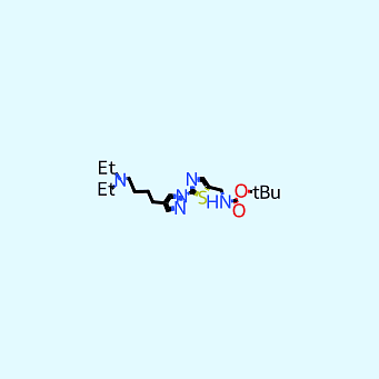 CCN(CC)CCCCc1cnn(-c2ncc(CNC(=O)OC(C)(C)C)s2)c1